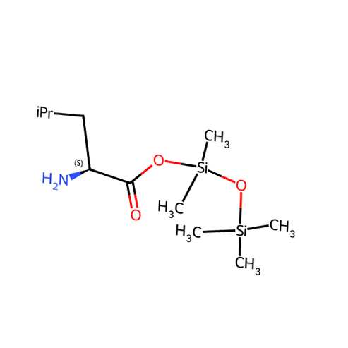 CC(C)C[C@H](N)C(=O)O[Si](C)(C)O[Si](C)(C)C